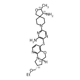 CCOC[C@H]1C[C@H]2COc3c(Sc4ncc(N5CCC6(CC5)CO[C@@H](C)[C@H]6N)nc4N)ccnc3N2C1